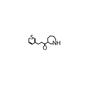 O=C(CCC1=CSCC=C1)C1CCCCNC1